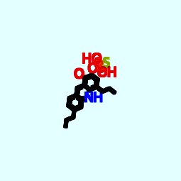 CCCc1ccc2cc3c(=O)c(OP(O)(O)=S)cc(CCC)c-3[nH]c2c1